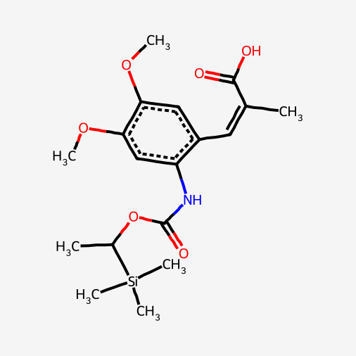 COc1cc(C=C(C)C(=O)O)c(NC(=O)OC(C)[Si](C)(C)C)cc1OC